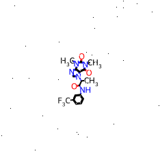 CC(C(=O)Nc1cccc(C(F)(F)F)c1)n1cnc2c1c(=O)n(C)c(=O)n2C